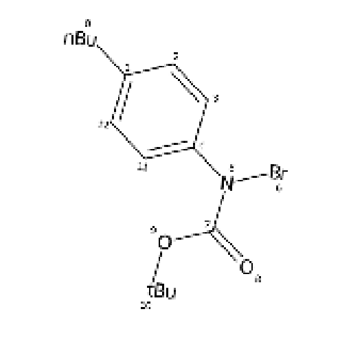 CCCCc1ccc(N(Br)C(=O)OC(C)(C)C)cc1